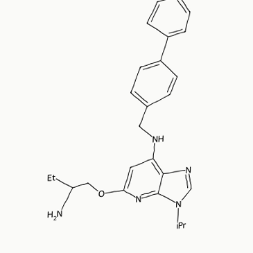 CCC(N)COc1cc(NCc2ccc(-c3ccccc3)cc2)c2ncn(C(C)C)c2n1